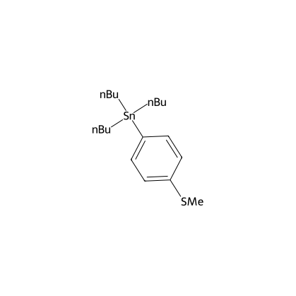 CCC[CH2][Sn]([CH2]CCC)([CH2]CCC)[c]1ccc(SC)cc1